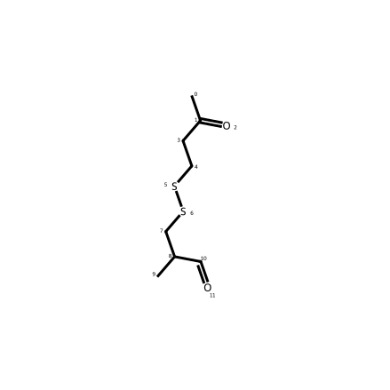 CC(=O)CCSSCC(C)C=O